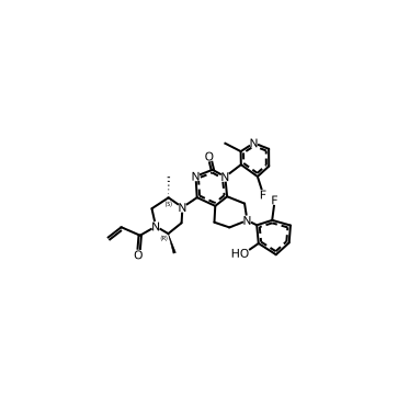 C=CC(=O)N1C[C@H](C)N(c2nc(=O)n(-c3c(F)ccnc3C)c3c2CCN(c2c(O)cccc2F)C3)C[C@H]1C